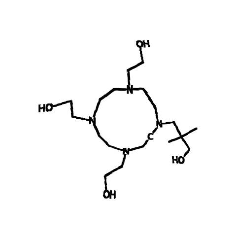 CC(C)(CO)CN1CCN(CCO)CCN(CCO)CCN(CCO)CC1